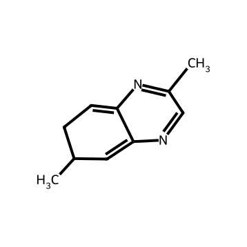 Cc1cnc2c(n1)=CCC(C)C=2